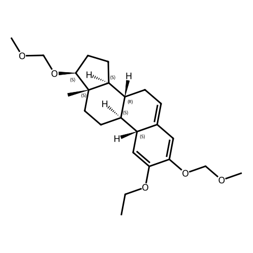 CCOC1=C[C@H]2C(=CC[C@@H]3[C@@H]2CC[C@]2(C)[C@@H](OCOC)CC[C@@H]32)C=C1OCOC